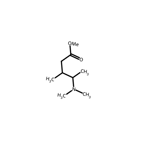 COC(=O)CC(C)C(C)N(C)C